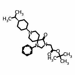 CC(C)[C@H]1CC[C@@H](N2CCC3(CC2)C(=O)N(CC(=O)OC(C)(C)C)CN3c2ccccc2)CC1